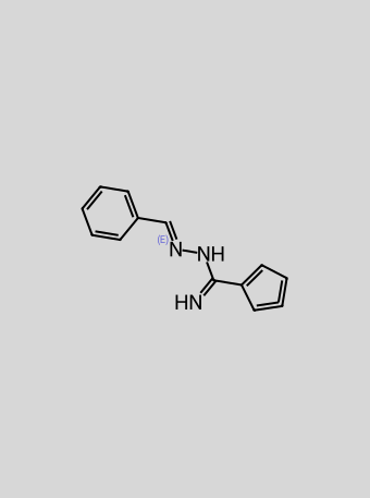 N=C(N/N=C/c1ccccc1)C1=CC=C=C1